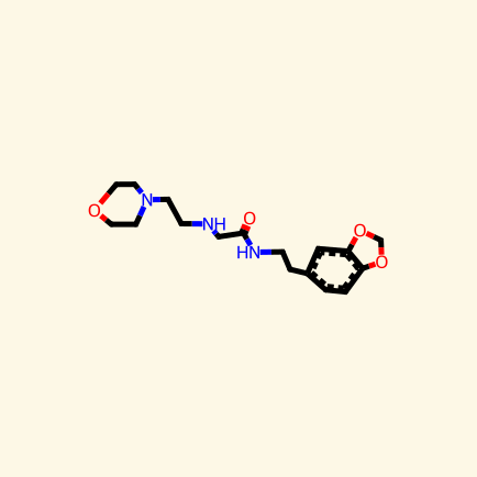 O=C(CNCCN1CCOCC1)NCCc1ccc2c(c1)OCO2